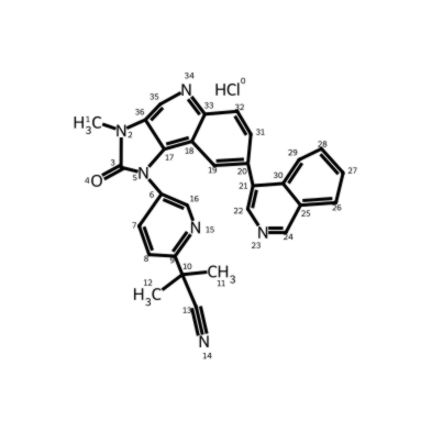 Cl.Cn1c(=O)n(-c2ccc(C(C)(C)C#N)nc2)c2c3cc(-c4cncc5ccccc45)ccc3ncc21